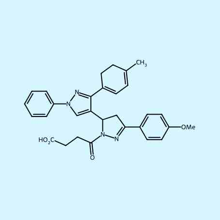 COc1ccc(C2=NN(C(=O)CCC(=O)O)C(c3cn(-c4ccccc4)nc3C3=CC=C(C)CC3)C2)cc1